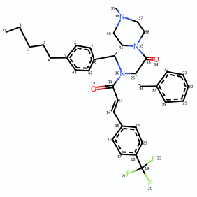 CCCCCc1ccc(CN(C(=O)C=Cc2ccc(C(F)(F)F)cc2)[C@@H](Cc2ccccc2)C(=O)N2CCN(C)CC2)cc1